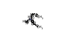 COCCCS(=O)(=O)c1ccc(/C(=N\OCc2nnc[nH]2)C(=O)Nc2ncc(CN3CCN(C)CC3)s2)cc1